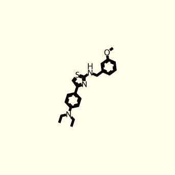 CCN(CC)c1ccc(-c2csc(NCc3cccc(OC)c3)n2)cc1